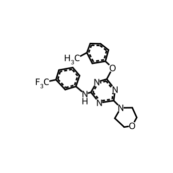 Cc1cccc(Oc2nc(Nc3cccc(C(F)(F)F)c3)nc(N3CCOCC3)n2)c1